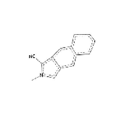 Cn1cc2cc3ccccc3cc2c1C#N